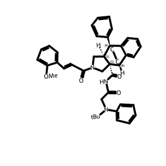 COc1ccccc1C=CC(=O)N1C[C@H]2[C@@]3(c4ccccc4)CC[C@H](c4ccccc43)[C@@]2(C(=O)NC(=O)CN(c2ccccc2)C(C)(C)C)C1